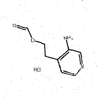 Cl.Nc1cnccc1CCOC=O